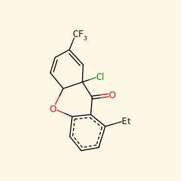 CCc1cccc2c1C(=O)C1(Cl)C=C(C(F)(F)F)C=CC1O2